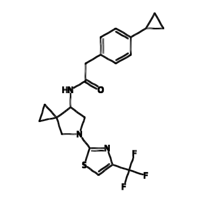 O=C(Cc1ccc(C2CC2)cc1)NC1CN(c2nc(C(F)(F)F)cs2)CC12CC2